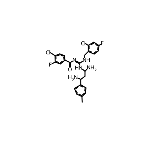 Cc1ccc(C(N)CC(N)N/C(=N\C(=O)c2ccc(Cl)c(F)c2)NCc2ccc(F)cc2Cl)cc1